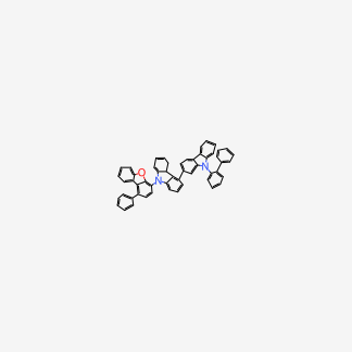 C1=CCC2C(=C1)N(c1ccc(-c3ccccc3)c3c1oc1ccccc13)c1cccc(-c3ccc4c5ccccc5n(-c5ccccc5-c5ccccc5)c4c3)c12